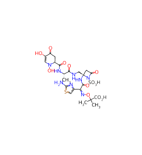 C[C@H](NC(=O)C1CC(=O)C(O)=CN1O)C(=O)NC[C@@]1(NC(=O)/C(=N\OC(C)(C)C(=O)O)c2csc(N)n2)CC(=O)N1S(=O)(=O)O